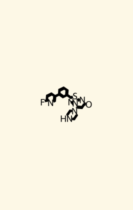 O=c1cc(N2CCNCC2)n2nc(-c3cccc(-c4ccc(F)nc4)c3)sc2n1